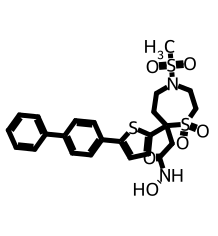 CS(=O)(=O)N1CCC(CC(=O)NO)(c2ccc(-c3ccc(-c4ccccc4)cc3)s2)S(=O)(=O)CC1